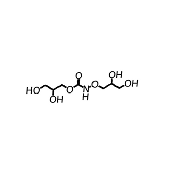 O=C(NOCC(O)CO)OCC(O)CO